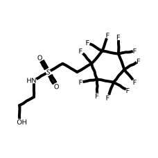 O=S(=O)(CCC1(F)C(F)(F)C(F)(F)C(F)(F)C(F)(F)C1(F)F)NCCO